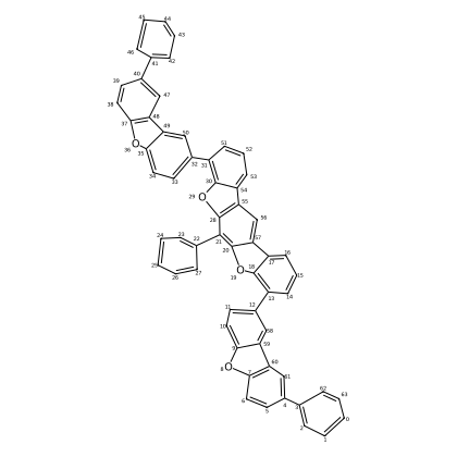 c1ccc(-c2ccc3oc4ccc(-c5cccc6c5oc5c(-c7ccccc7)c7oc8c(-c9ccc%10oc%11ccc(-c%12ccccc%12)cc%11c%10c9)cccc8c7cc56)cc4c3c2)cc1